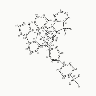 CC1(C)c2ccccc2-c2ccc(N(c3ccc(-c4ccc([Si](C)(C)C)cc4)cc3)c3cccc4c3C3(c5ccccc5-c5ccccc53)c3ccccc3-4)cc21